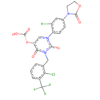 O=C(O)Oc1cn(-c2ccc(N3CCOC3=O)cc2F)c(=O)n(Cc2cccc(C(F)(F)F)c2Cl)c1=O